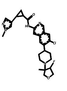 Cn1cc(C2CC2C(=O)Nc2cc3cc(C4CCN(C5(C)COCC5F)CC4)c(Cl)cc3cn2)cn1